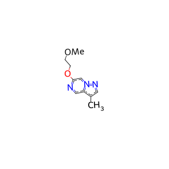 COCCOc1cn2ncc(C)c2cn1